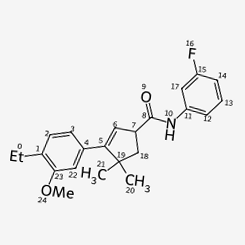 CCc1ccc(C2=CC(C(=O)Nc3cccc(F)c3)CC2(C)C)cc1OC